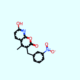 Cc1c(Cc2cccc([N+](=O)[O-])c2)c(=O)oc2nc(O)ccc12